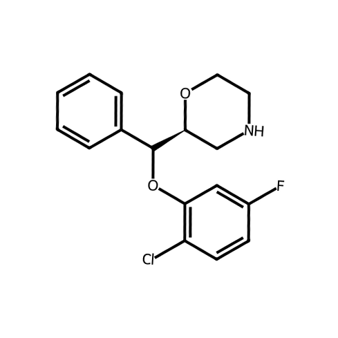 Fc1ccc(Cl)c(OC(c2ccccc2)[C@@H]2CNCCO2)c1